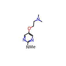 CNc1ncc(OCCN(C)C)cn1